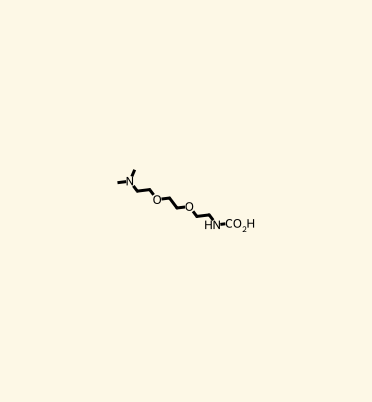 CN(C)CCOCCOCCNC(=O)O